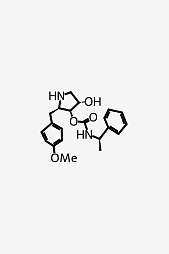 COc1ccc(C[C@H]2NC[C@H](O)[C@H]2OC(=O)N[C@H](C)c2ccccc2)cc1